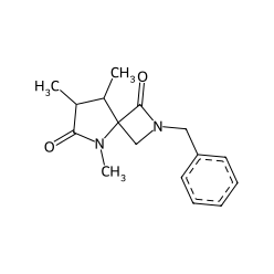 CC1C(=O)N(C)C2(CN(Cc3ccccc3)C2=O)C1C